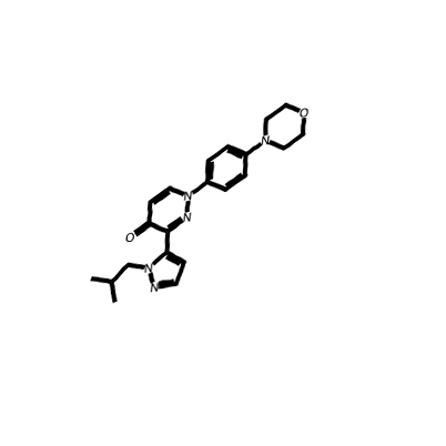 CC(C)Cn1nccc1-c1nn(-c2ccc(N3CCOCC3)cc2)ccc1=O